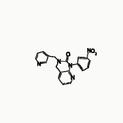 O=C1N(Cc2cccnc2)Cc2cccnc2N1c1cccc([N+](=O)[O-])c1